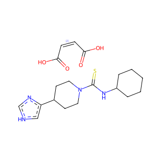 O=C(O)/C=C\C(=O)O.S=C(NC1CCCCC1)N1CCC(c2c[nH]cn2)CC1